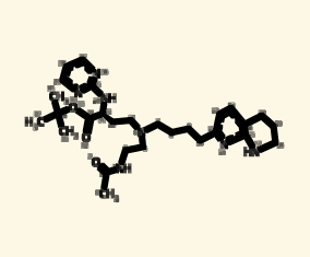 CC(=O)NCCN(CCCCc1ccc2c(n1)NCCC2)CC[C@H](Nc1ncccn1)C(=O)OC(C)(C)C